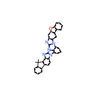 CC1(C)c2ccccc2-c2ccc3c(nc4n3c3cccc5c3n4c3nc4cc6oc7ccccc7c6cc4n53)c21